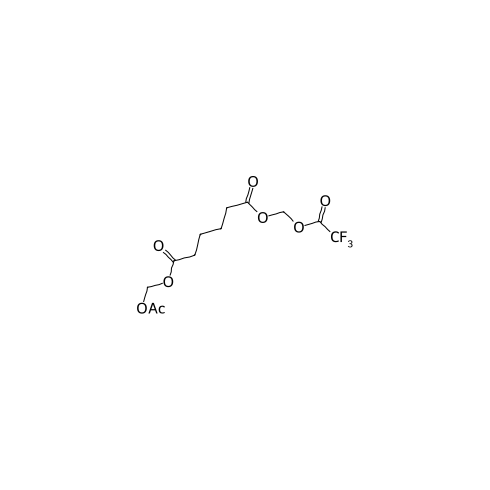 CC(=O)OCOC(=O)CCCCC(=O)OCOC(=O)C(F)(F)F